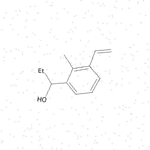 C=Cc1cccc(C(O)CC)c1C